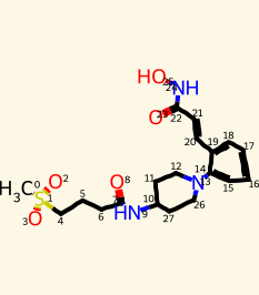 CS(=O)(=O)CCCC(=O)NC1CCN(c2ccccc2C=CC(=O)NO)CC1